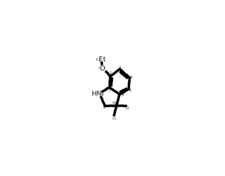 CCOc1cccc2c1NCC2(C)C